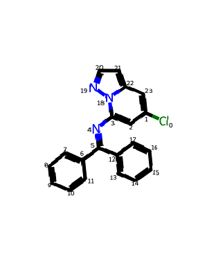 Clc1cc(N=C(c2ccccc2)c2ccccc2)n2nccc2c1